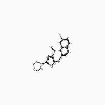 O=Cc1sc(N2CCOCC2)nc1Cc1ccc2ccc(F)cc2c1